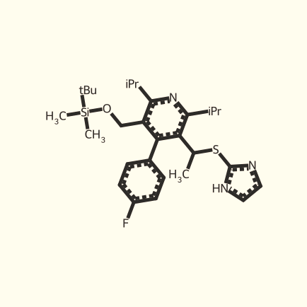 CC(C)c1nc(C(C)C)c(C(C)Sc2ncc[nH]2)c(-c2ccc(F)cc2)c1CO[Si](C)(C)C(C)(C)C